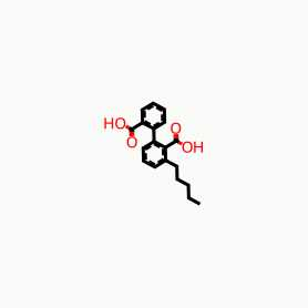 CCCCCc1cccc(-c2ccccc2C(=O)O)c1C(=O)O